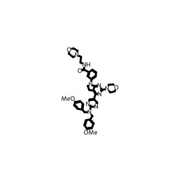 COc1ccc(CN(Cc2ccc(OC)cc2)c2ncc(-c3nc(N4CCOCC4)nc4c3CCN4c3cccc(C(=O)NCCN4CCOCC4)c3)cn2)cc1